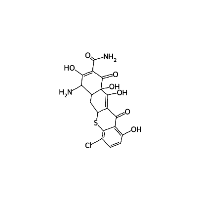 NC(=O)C1=C(O)C(N)C2CC3Sc4c(Cl)ccc(O)c4C(=O)C3=C(O)C2(O)C1=O